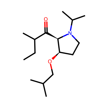 CCC(C)C(=O)[C@@H]1[C@H](OCC(C)C)CCN1C(C)C